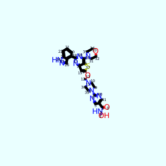 O=C(NO)c1cnc(N2CCN(COc3cc4nc(-c5cccc6[nH]ncc56)nc(N5CCOCC5)c4s3)CC2)nc1